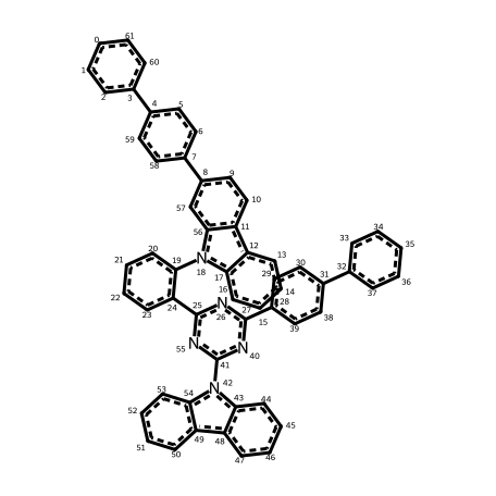 c1ccc(-c2ccc(-c3ccc4c5ccccc5n(-c5ccccc5-c5nc(-c6ccc(-c7ccccc7)cc6)nc(-n6c7ccccc7c7ccccc76)n5)c4c3)cc2)cc1